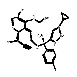 B[C@@](NC/C=c1/c(NCC(C)(C)C)c(C#N)cn/c1=C(\Cl)C#C)(C1=CN(C2CC2)NN1)c1ccc(F)cc1